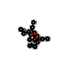 c1ccc(-c2ccc(N(c3ccc(-c4cccc5c4oc4ccccc45)cc3)c3cccc(C4(c5cccc(N(c6ccc(-c7ccccc7)cc6)c6ccc(-c7cccc8c7oc7ccccc78)cc6)c5)c5ccccc5-c5ccccc5-c5ccccc54)c3)cc2)cc1